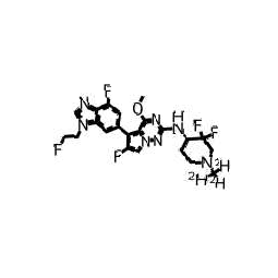 [2H]C([2H])([2H])N1CC[C@@H](Nc2nc(OC)c3c(-c4cc(F)c5ncn(CCF)c5c4)c(F)cn3n2)C(F)(F)C1